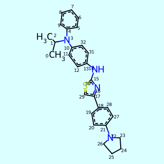 CC(C)N(c1ccccc1)c1ccc(Nc2nc(-c3ccc(N4CCCC4)cc3)cs2)cc1